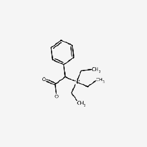 CC[N+](CC)(CC)C(C(=O)[O-])c1ccccc1